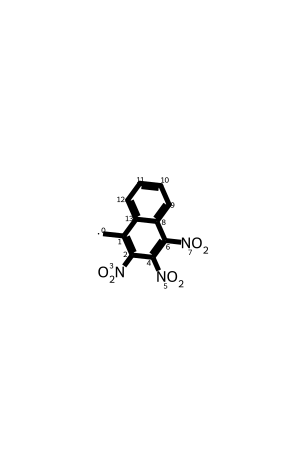 [CH2]c1c([N+](=O)[O-])c([N+](=O)[O-])c([N+](=O)[O-])c2ccccc12